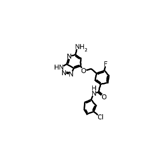 Nc1cc(OCc2cc(C(=O)Nc3cccc(Cl)c3)ccc2F)c2nn[nH]c2n1